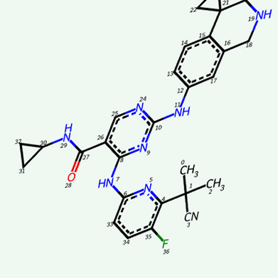 CC(C)(C#N)c1nc(Nc2nc(Nc3ccc4c(c3)CNCC43CC3)ncc2C(=O)NC2CC2)ccc1F